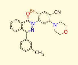 Cc1cccc(-c2nn(-c3cc(N4CCOCC4)c(C#N)cc3Br)c(=O)c3ccccc23)c1